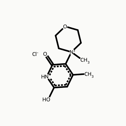 Cc1cc(O)[nH]c(=O)c1[N+]1(C)CCOCC1.[Cl-]